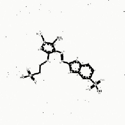 Cn1nc(SCCS(=O)(=O)O)c(N=Nc2nc3cc(S(=O)(=O)O)ccc3s2)c1N